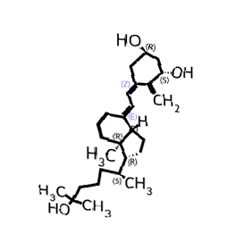 C=C1/C(=C\C=C2/CCC[C@]3(C)[C@@H]([C@@H](C)CCCC(C)(C)O)CC[C@@H]23)C[C@@H](O)C[C@@H]1O